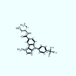 CC[C@@H](CO)NC(=O)c1ccc2c(c1)c1c(ncn1C)n2-c1ccc(C(F)(F)F)cc1